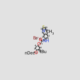 CCCCCCCCCCOc1ccc(OCC(=O)Nc2cccc(C[n+]3cscc3C)c2)cc1C(C)(C)C.[Br-]